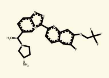 C[C@@H](c1ccc2nnc(-c3ccc4cc(F)c(OCC(F)(F)F)cc4n3)n2c1)N1CC[C@H](N)C1